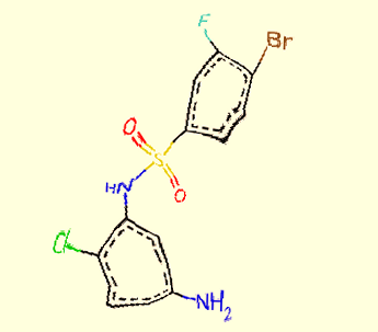 Nc1ccc(Cl)c(NS(=O)(=O)c2ccc(Br)c(F)c2)c1